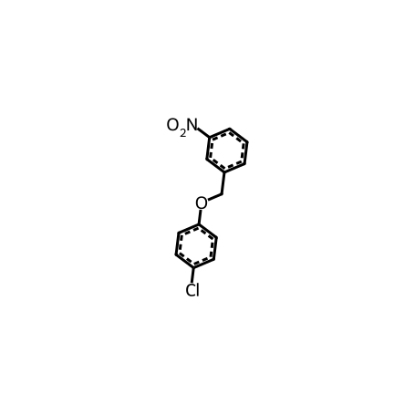 O=[N+]([O-])c1cccc(COc2ccc(Cl)cc2)c1